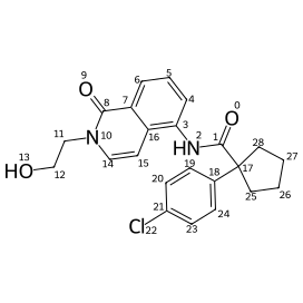 O=C(Nc1cccc2c(=O)n(CCO)ccc12)C1(c2ccc(Cl)cc2)CCCC1